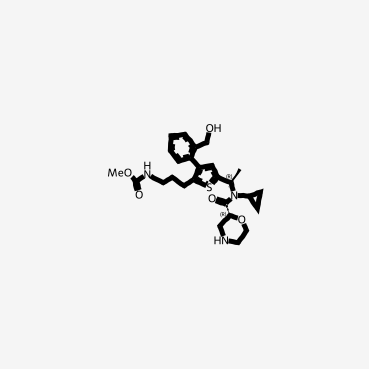 COC(=O)NCCCc1sc([C@@H](C)N(C(=O)[C@H]2CNCCO2)C2CC2)cc1-c1ccccc1CO